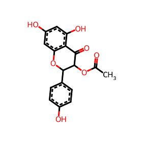 CC(=O)OC1C(=O)c2c(O)cc(O)cc2OC1c1ccc(O)cc1